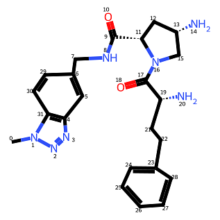 Cn1nnc2cc(CNC(=O)[C@@H]3C[C@H](N)CN3C(=O)[C@H](N)CCc3ccccc3)ccc21